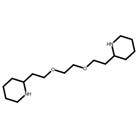 C1CCC(CCOCCOCCC2CCCCN2)NC1